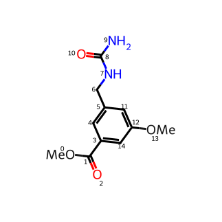 COC(=O)c1cc(CNC(N)=O)cc(OC)c1